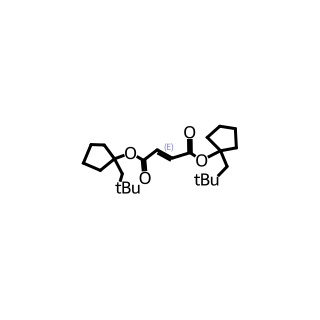 CC(C)(C)CC1(OC(=O)/C=C/C(=O)OC2(CC(C)(C)C)CCCC2)CCCC1